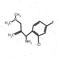 C=C(CN(C)C)C(N)c1ccc(F)cc1Cl